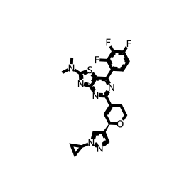 CN(C)c1nc2nc(C3=C[C@H](c4cnn(C5CC5)c4)OCC3)nc(-c3ccc(F)c(F)c3F)c2s1